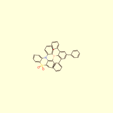 O=S1(=O)c2ccccc2N2c3ccccc3B(c3c(-c4ccccc4)cc(-c4ccccc4)cc3-c3ccccc3)c3cccc1c32